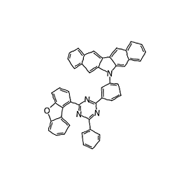 c1ccc(-c2nc(-c3cccc(-n4c5cc6ccccc6cc5c5cc6ccccc6cc54)c3)nc(-c3cccc4oc5ccccc5c34)n2)cc1